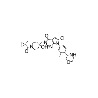 Cc1cc(-n2c(Cl)cc3c(=O)n(CC4(O)CCN(C(=O)C5(C)CC5)CC4)cnc32)ccc1C1COCCN1